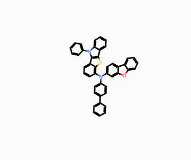 c1ccc(-c2ccc(N(c3ccc4c(c3)oc3ccccc34)c3cccc4c3sc3c5ccccc5n(-c5ccccc5)c43)cc2)cc1